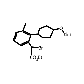 CCOC(=O)C(Br)c1cccc(C)c1C1CCC(OC(C)(C)C)CC1